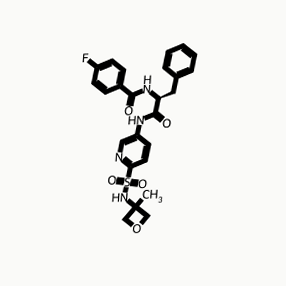 CC1(NS(=O)(=O)c2ccc(NC(=O)[C@H](Cc3ccccc3)NC(=O)c3ccc(F)cc3)cn2)COC1